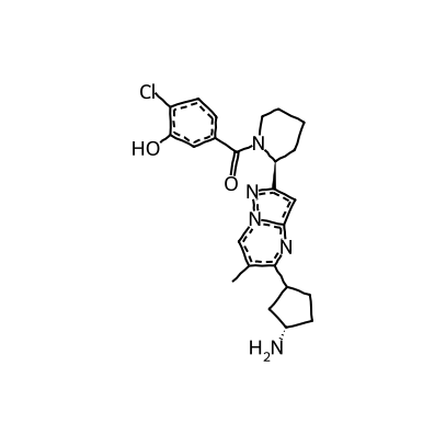 Cc1cn2nc([C@@H]3CCCCN3C(=O)c3ccc(Cl)c(O)c3)cc2nc1C1CC[C@H](N)C1